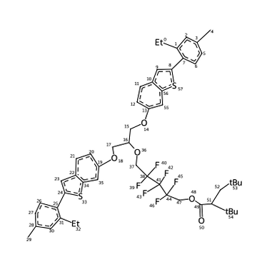 CCc1cc(C)ccc1-c1cc2ccc(OCC(COc3ccc4cc(-c5ccc(C)cc5CC)sc4c3)OCC(F)(F)C(F)(F)C(F)(F)COC(=O)C(CC(C)(C)C)C(C)(C)C)cc2s1